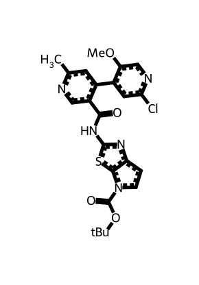 COc1cnc(Cl)cc1-c1cc(C)ncc1C(=O)Nc1nc2ccn(C(=O)OC(C)(C)C)c2s1